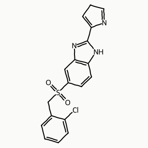 O=S(=O)(Cc1ccccc1Cl)c1ccc2[nH]c(C3=CCC=N3)nc2c1